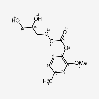 COc1cc(C)ccc1OC(=O)OOCC(O)CO